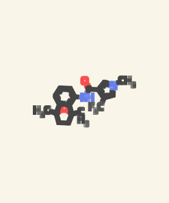 Cn1cc(C(=O)Nc2cccc3c2C2(C)CCC3(C)O2)c(C(F)(F)F)c1